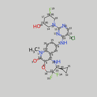 Cn1c(=O)c2c(c3cc(Nc4nc(N5C[C@H](O)C[C@@H](F)C5)ncc4Cl)ccc31)N[C@@H](C1CC1)C(F)(F)CO2